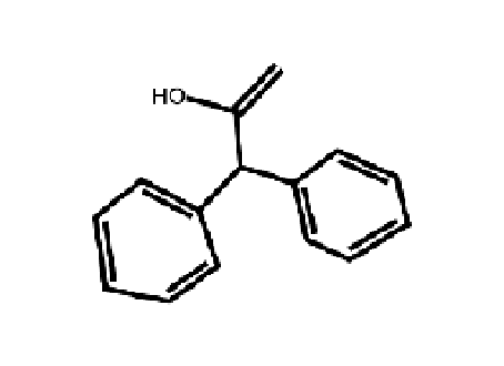 C=C(O)C(c1ccccc1)c1ccccc1